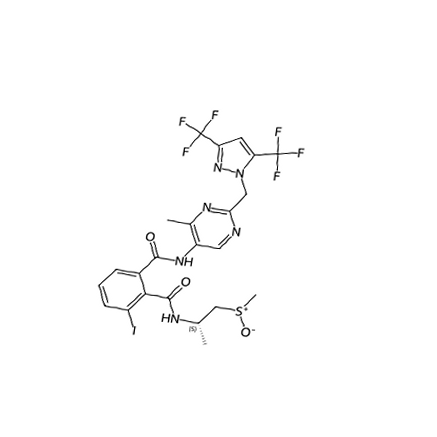 Cc1nc(Cn2nc(C(F)(F)F)cc2C(F)(F)F)ncc1NC(=O)c1cccc(I)c1C(=O)N[C@@H](C)C[S+](C)[O-]